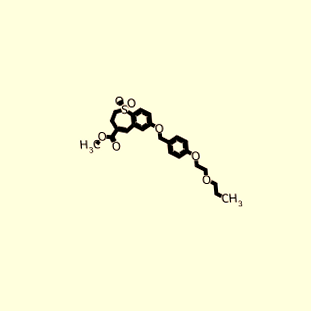 CCCOCCOc1ccc(COc2ccc3c(c2)C=C(C(=O)OC)CCS3(=O)=O)cc1